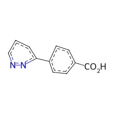 O=C(O)c1ccc(-c2cccnn2)cc1